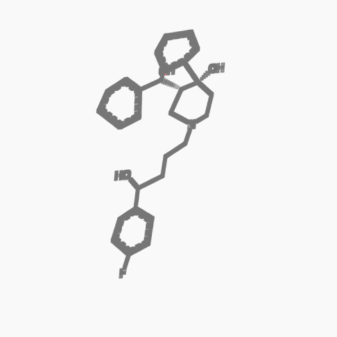 OC(CCCN1CC[C@](O)(c2ccccc2)[C@@H](C(O)c2ccccc2)C1)c1ccc(F)cc1